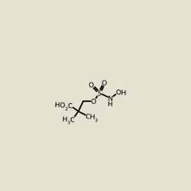 CC(C)(COS(=O)(=O)NO)C(=O)O